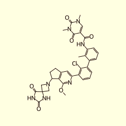 COc1nc(-c2cccc(-c3cccc(NC(=O)c4cn(C)c(=O)n(C)c4=O)c3C)c2Cl)cc2c1C(N1CC3(C1)NC(=O)NC3=O)CC2